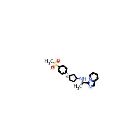 C[C@@H](NC1CC[C@H](c2ccc(S(C)(=O)=O)cc2)C1)c1ncc2ccccn12